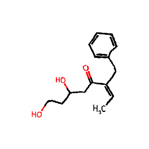 CC=C(Cc1ccccc1)C(=O)CC(O)CCO